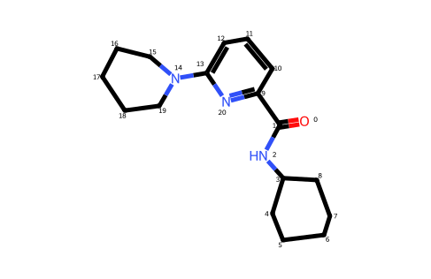 O=C(NC1CCCCC1)c1cccc(N2CCCCC2)n1